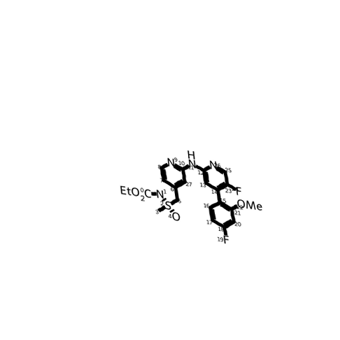 CCOC(=O)N=S(C)(=O)Cc1ccnc(Nc2cc(-c3ccc(F)cc3OC)c(F)cn2)c1